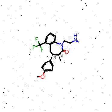 CNCCN1C(=O)[C@@H](C)[C@@H](c2ccc(OC)cc2)Cc2c1cccc2C(F)(F)F